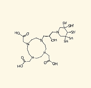 O=C(O)CN1CCN(CC(=O)O)CCN(CC(O)CN2CC(S)(S)C(S)C(S)(S)C2)CCN(CC(=O)O)CC1